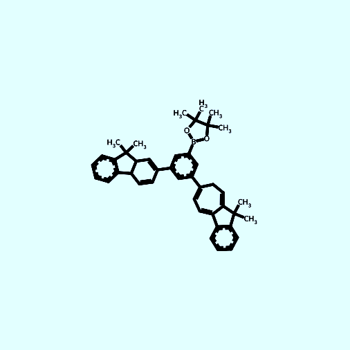 CC1(C)C2=CCC(c3cc(B4OC(C)(C)C(C)(C)O4)cc(C4=CC5C(C=C4)c4ccccc4C5(C)C)c3)=CC=C2c2ccccc21